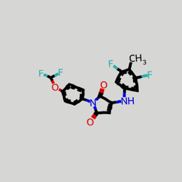 Cc1c(F)cc(NC2=CC(=O)N(c3ccc(OC(F)F)cc3)C2=O)cc1F